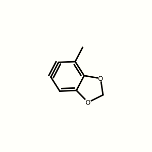 Cc1c#ccc2c1OCO2